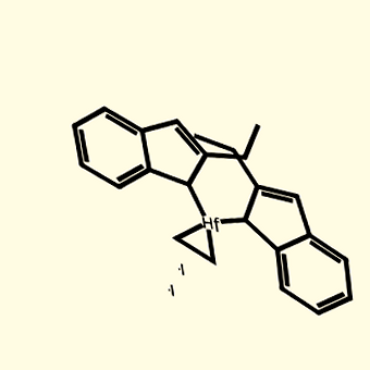 CCC1=Cc2ccccc2[CH]1[Hf]1([CH]2C(CC)=Cc3ccccc32)[CH2][CH2]1.[I].[I]